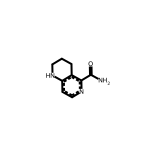 NC(=O)c1nccc2c1CCCN2